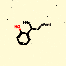 CCCCCCC([SeH])c1ccccc1O